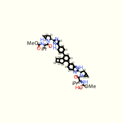 COC(=O)N[C@H](C(=O)N1C2CC2C[C@H]1c1ncc(-c2ccc(-c3ccc(-c4ccc5nc([C@@H]6CC7CC7N6C(=O)[C@@H](NC(O)OC)C(C)C)[nH]c5c4)c4c3C3CCC3C4)cc2)[nH]1)C(C)C